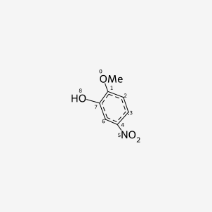 COc1c[c]c([N+](=O)[O-])cc1O